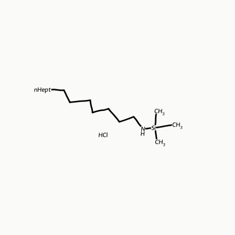 CCCCCCCCCCCCCCN[Si](C)(C)C.Cl